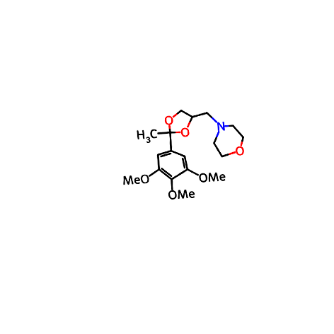 COc1cc(C2(C)OCC(CN3CCOCC3)O2)cc(OC)c1OC